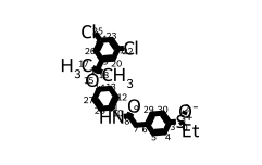 CC[S+]([O-])c1ccc(CC(=O)NC2=CCC(OC(C)(C)c3cc(Cl)cc(Cl)c3)C=C2)cc1